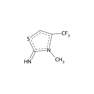 Cn1c(C(F)(F)F)csc1=N